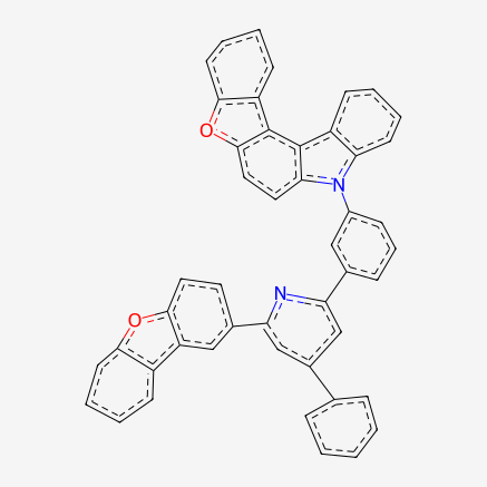 c1ccc(-c2cc(-c3cccc(-n4c5ccccc5c5c6c(ccc54)oc4ccccc46)c3)nc(-c3ccc4oc5ccccc5c4c3)c2)cc1